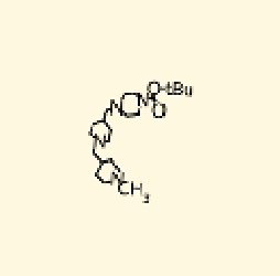 CN1CCC(CN2CCC(CN3CCN(C(=O)OC(C)(C)C)CC3)CC2)CC1